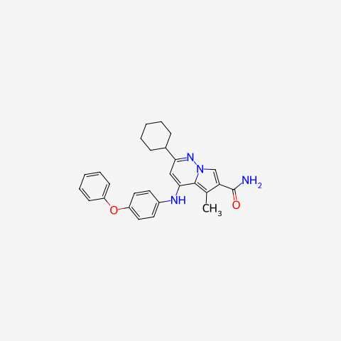 Cc1c(C(N)=O)cn2nc(C3CCCCC3)cc(Nc3ccc(Oc4ccccc4)cc3)c12